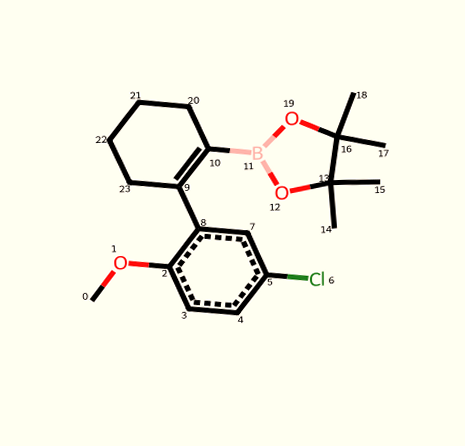 COc1ccc(Cl)cc1C1=C(B2OC(C)(C)C(C)(C)O2)CCCC1